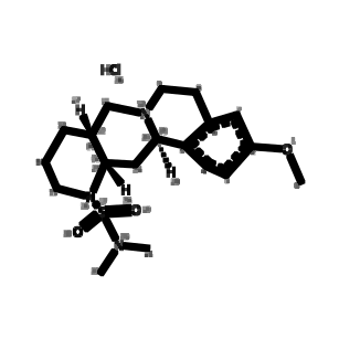 COc1ccc2c(c1)CCN1C[C@H]3CCCN(S(=O)(=O)N(C)C)[C@H]3C[C@H]21.Cl